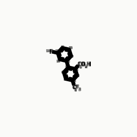 O=C(O)c1cc(C(F)(F)F)ccc1-c1cccc(F)c1